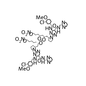 COc1ccc(CNc2nc(N3CCCC3C[C@H](CCCCCO[N+](=O)[O-])OC(=O)O[C@@H](CCCCCO[N+](=O)[O-])CC3CCCN3c3ncc(C(=O)NCc4ncccn4)c(NCc4ccc(OC)c(Cl)c4)n3)ncc2C(=O)NCc2ncccn2)cc1Cl